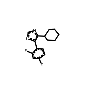 Fc1ccc(-c2ocnc2C2CCCCC2)c(F)c1